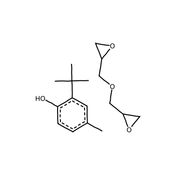 C(OCC1CO1)C1CO1.Cc1ccc(O)c(C(C)(C)C)c1